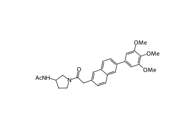 COc1cc(-c2ccc3cc(CC(=O)N4CCC(NC(C)=O)C4)ccc3c2)cc(OC)c1OC